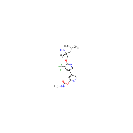 CNC(=O)Oc1cc(-c2cnc(OC[C@@](C)(N)CC(C)C)c(C(F)(F)F)c2)ccn1